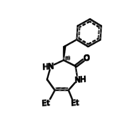 CCC1=C(CC)NC(=O)[C@H](Cc2ccccc2)NC1